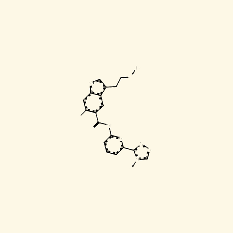 CC(C)OCCc1c[nH]c2cc(F)c(C(=O)Nc3cccc(-c4nncn4C(C)C)n3)cc12